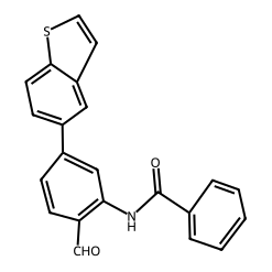 O=Cc1ccc(-c2ccc3sccc3c2)cc1NC(=O)c1ccccc1